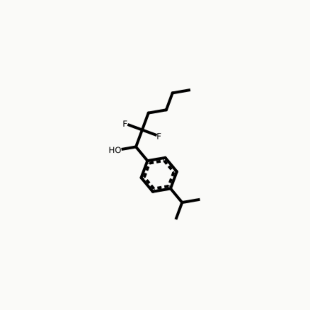 CCCCC(F)(F)C(O)c1ccc(C(C)C)cc1